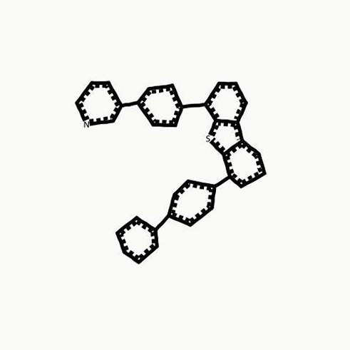 c1ccc(-c2ccc(-c3cccc4c3sc3c(-c5ccc(-c6cccnc6)cc5)cccc34)cc2)cc1